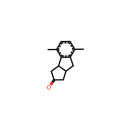 Cc1ccc(C)c2c1CC1CC(=O)CC21